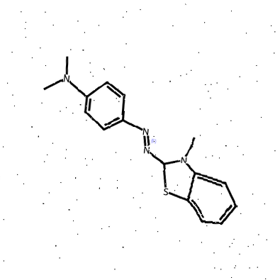 CN(C)c1ccc(/N=N/C2Sc3ccccc3N2C)cc1